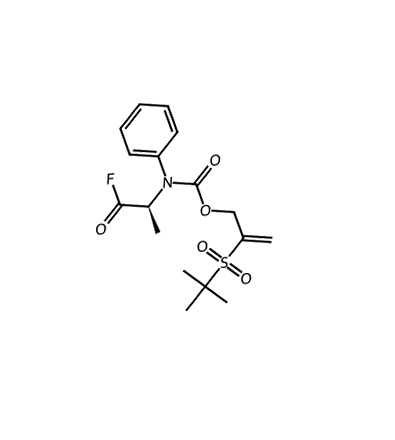 C=C(COC(=O)N(c1ccccc1)[C@@H](C)C(=O)F)S(=O)(=O)C(C)(C)C